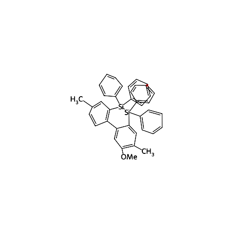 COc1cc2c(cc1C)[Si](c1ccccc1)(c1ccccc1)[Si](c1ccccc1)(c1ccccc1)c1cc(C)ccc1-2